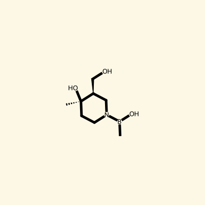 CB(O)N1CC[C@@](C)(O)[C@@H](CO)C1